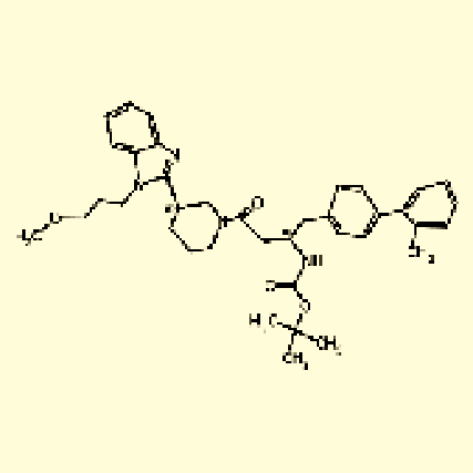 COCCCn1c([C@@H]2CCCN(C(=O)C[C@@H](Cc3ccc(-c4ccccc4C)cc3)NC(=O)OC(C)(C)C)C2)nc2ccccc21